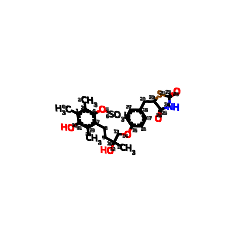 Cc1c(C)c(OS(=O)(=O)O)c(CCC(C)(O)COc2ccc(CC3SC(=O)NC3=O)cc2)c(C)c1O